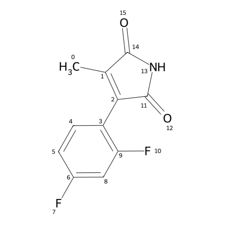 CC1=C(c2ccc(F)cc2F)C(=O)NC1=O